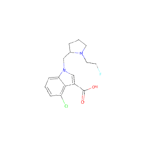 O=C(O)c1cn(CC2CCCN2CCF)c2cccc(Cl)c12